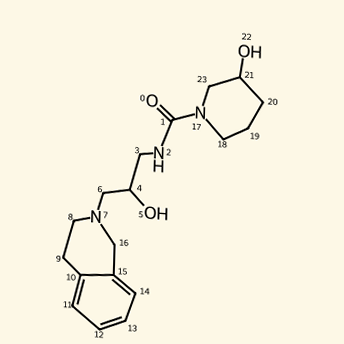 O=C(NCC(O)CN1CCc2ccccc2C1)N1CCCC(O)C1